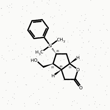 C[Si](C)(c1ccccc1)[C@@H]1C[C@@H]2OC(=O)C[C@@H]2[C@H]1CO